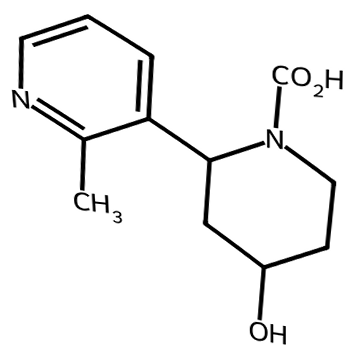 Cc1ncccc1C1CC(O)CCN1C(=O)O